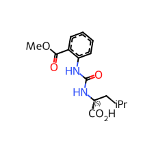 COC(=O)c1ccccc1NC(=O)N[C@@H](CC(C)C)C(=O)O